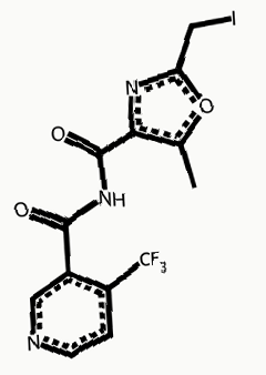 Cc1oc(CI)nc1C(=O)NC(=O)c1cnccc1C(F)(F)F